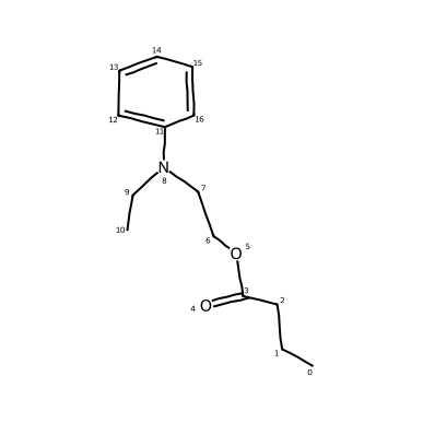 CCCC(=O)OCCN(CC)c1ccccc1